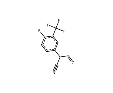 N#CC(C=O)c1ccc(F)c(C(F)(F)F)c1